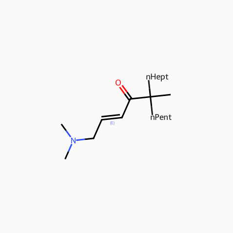 CCCCCCCC(C)(CCCCC)C(=O)/C=C/CN(C)C